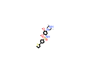 COc1cc(OC)c(N2C[C@@H](C)N[C@@H](C)C2)cc1NS(=O)(=O)c1ccc(-c2cccs2)cc1